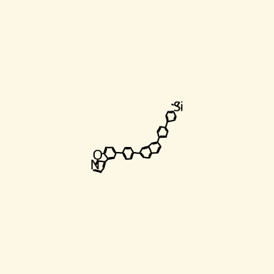 C[Si](C)(C)c1ccc(-c2ccc(-c3ccc4ccc(-c5ccc(-c6ccc7oc8ncccc8c7c6)cc5)cc4c3)cc2)cc1